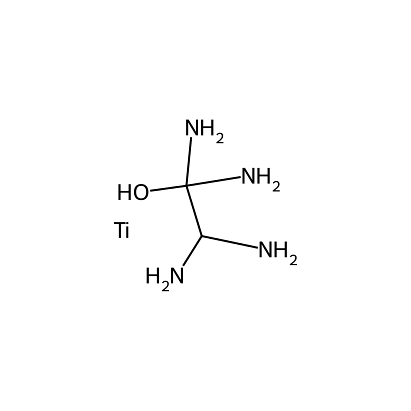 NC(N)C(N)(N)O.[Ti]